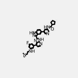 CN(C)CCNc1cc(F)cc(-c2ccnc3[nH]c(-c4n[nH]c5ccc(-c6cncc(NC(=O)C7CCCC7)c6)cc45)nc23)c1